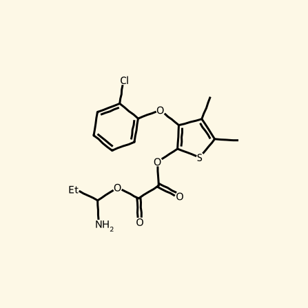 CCC(N)OC(=O)C(=O)Oc1sc(C)c(C)c1Oc1ccccc1Cl